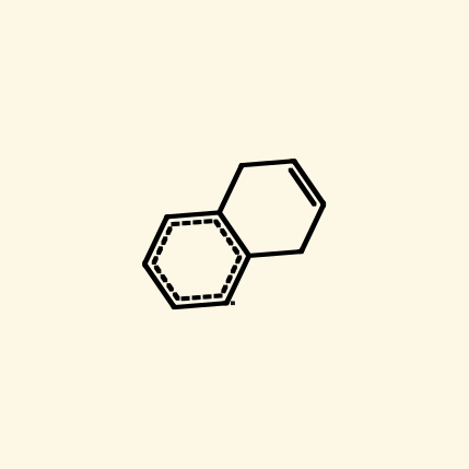 [c]1cccc2c1CC=CC2